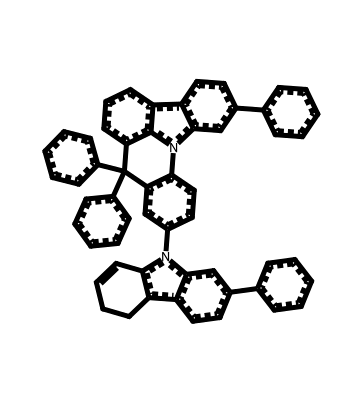 C1=Cc2c(c3ccc(-c4ccccc4)cc3n2-c2ccc3c(c2)C(c2ccccc2)(c2ccccc2)c2cccc4c5ccc(-c6ccccc6)cc5n-3c24)CC1